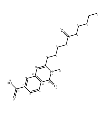 CCCCCC(=O)CCCCc1cc2cc(C(=O)O)ccc2c(=O)n1C